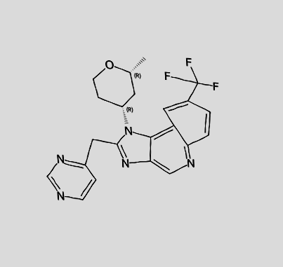 C[C@@H]1C[C@H](n2c(Cc3ccncn3)nc3cnc4ccc(C(F)(F)F)cc4c32)CCO1